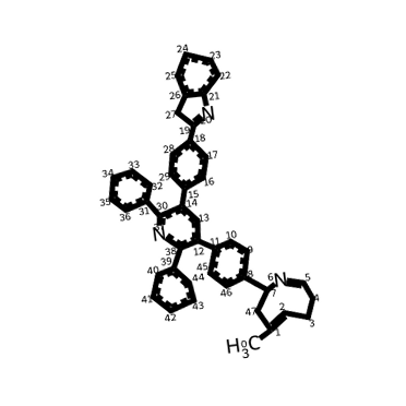 C/C1=C\CC/C=N\C(c2ccc(-c3cc(-c4ccc(C5=Nc6ccccc6C5)cc4)c(-c4ccccc4)nc3-c3ccccc3)cc2)C1